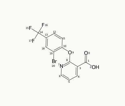 O=C(O)c1cccnc1Oc1ccc(C(F)(F)F)cc1Br